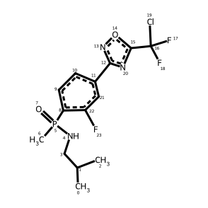 CC(C)CNP(C)(=O)c1ccc(-c2noc(C(F)(F)Cl)n2)cc1F